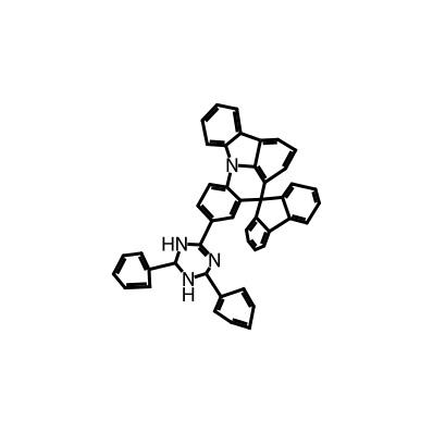 c1ccc(C2N=C(c3ccc4c(c3)C3(c5ccccc5-c5ccccc53)c3cccc5c6ccccc6n-4c35)NC(c3ccccc3)N2)cc1